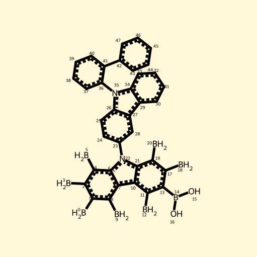 Bc1c(B)c(B)c2c(c1B)c1c(B)c(B(O)O)c(B)c(B)c1n2-c1ccc2c(c1)c1ccccc1n2-c1ccccc1-c1ccccc1